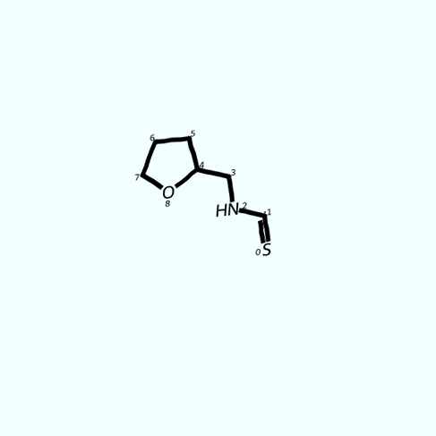 S=[C]NCC1CCCO1